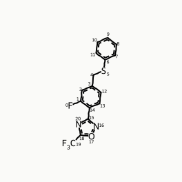 Fc1cc(CSc2ccccc2)ccc1-c1noc(C(F)(F)F)n1